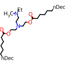 CCCCCCCCCCCCCCCC(=O)OCCN(CCOC(=O)CCCCCCCCCCCCCCC)CCN(C)CC